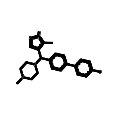 Cc1[nH]ncc1C(c1ccc(-c2ccc(F)cc2)cc1)N1CCN(C)CC1